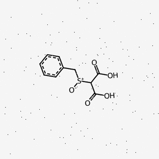 O=C(O)C(C(=O)O)[S+]([O-])Cc1ccccc1